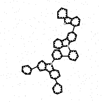 c1ccc(-c2ccc3c(c2)c2cc(-c4ccccc4)ccc2n3-c2cccc(-c3ccccc3-n3c4ccccc4c4cc(-c5cccc6c5oc5ccccc56)ccc43)c2)cc1